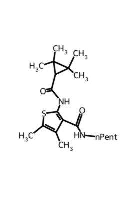 CCCCCNC(=O)c1c(NC(=O)C2C(C)(C)C2(C)C)sc(C)c1C